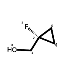 OC[C@]1(F)[CH]C1